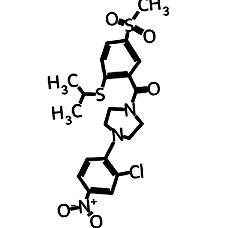 CC(C)Sc1ccc(S(C)(=O)=O)cc1C(=O)N1CCN(c2ccc([N+](=O)[O-])cc2Cl)CC1